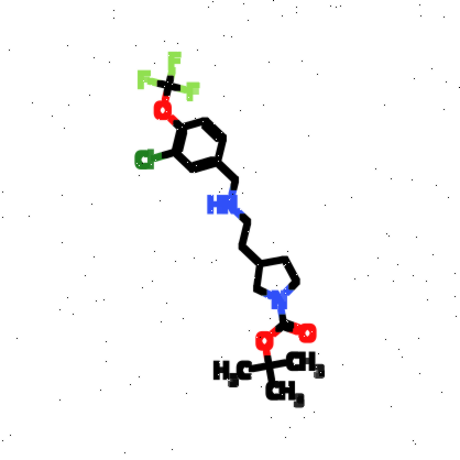 CC(C)(C)OC(=O)N1CCC(CCNCc2ccc(OC(F)(F)F)c(Cl)c2)C1